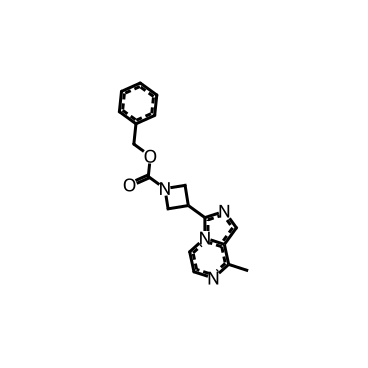 Cc1nccn2c(C3CN(C(=O)OCc4ccccc4)C3)ncc12